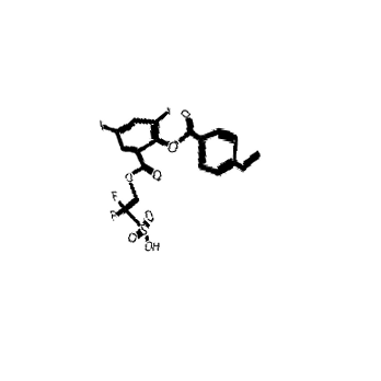 C=Cc1ccc(C(=O)Oc2c(I)cc(I)cc2C(=O)OCC(F)(F)S(=O)(=O)O)cc1